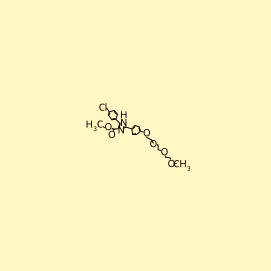 CCOC(=O)c1nc(-c2ccc(OCCOCCOCCOC)cc2)[nH]c1-c1ccc(Cl)cc1